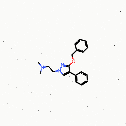 CN(C)CCn1cc(-c2c[c]ccc2)c(OCc2ccccc2)n1